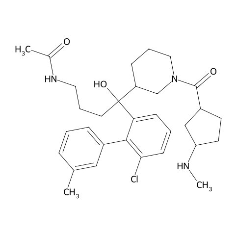 CNC1CCC(C(=O)N2CCCC(C(O)(CCCNC(C)=O)c3cccc(Cl)c3-c3cccc(C)c3)C2)C1